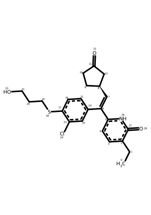 CCc1ccc(/C(=C/[C@H]2CCC(=O)C2)c2ccc(SCCCO)c(Cl)c2)[nH]c1=O